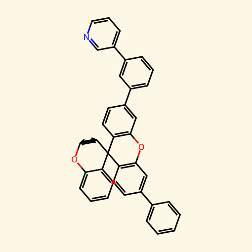 c1ccc(-c2ccc3c(c2)Oc2cc(-c4cccc(-c5cccnc5)c4)ccc2C32c3ccccc3Oc3ccccc32)cc1